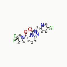 O=C([C@H]1CCCc2nn(Cc3ccc(Cl)cn3)c(=O)n21)N1CCC(F)(F)C1